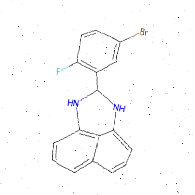 Fc1ccc(Br)cc1C1Nc2cccc3cccc(c23)N1